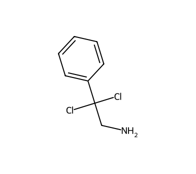 NCC(Cl)(Cl)c1ccccc1